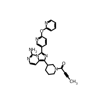 CC#CC(=O)N1CCCC(c2nc(-c3ccc(Oc4ccccn4)nc3)n3c(N)nccc23)C1